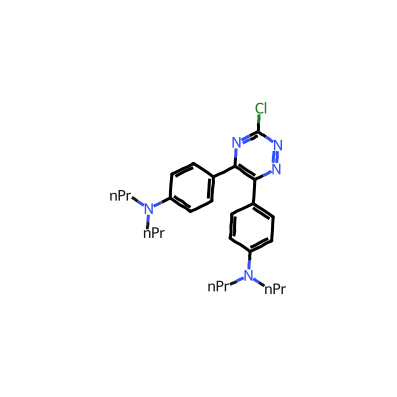 CCCN(CCC)c1ccc(-c2nnc(Cl)nc2-c2ccc(N(CCC)CCC)cc2)cc1